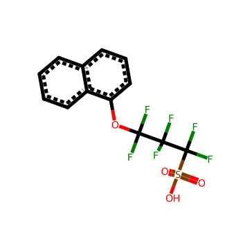 O=S(=O)(O)C(F)(F)C(F)(F)C(F)(F)Oc1cccc2ccccc12